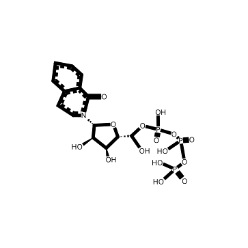 O=c1c2ccccc2ccn1[C@@H]1O[C@H](C(O)OP(=O)(O)OP(=O)(O)OP(=O)(O)O)[C@@H](O)[C@H]1O